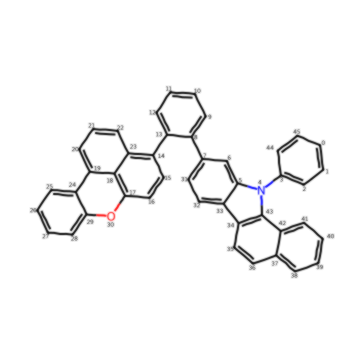 c1ccc(-n2c3cc(-c4ccccc4-c4ccc5c6c(cccc46)-c4ccccc4O5)ccc3c3ccc4ccccc4c32)cc1